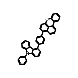 c1ccc(-n2c3ccccc3c3c(-c4ccc(-c5ccc6c7c(cccc57)-c5ccccc5O6)cc4)cccc32)cc1